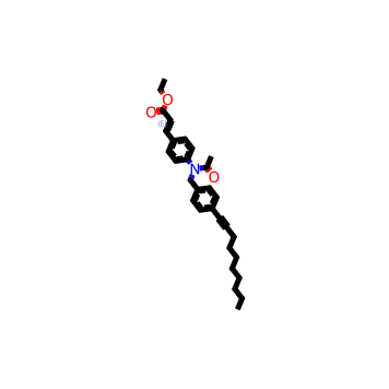 CCCCCCCCC#Cc1ccc(CN(C(C)=O)c2ccc(/C=C/C(=O)OCC)cc2)cc1